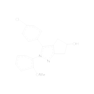 COc1ccccc1-n1nc2c(c1-c1ccc(Cl)cc1)CC(O)C2